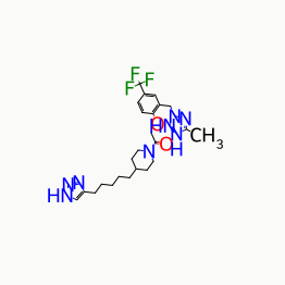 CC1=NN(Cc2cc(C(F)(F)F)ccc2OCC(=O)N2CCC(CCCCCc3c[nH]nn3)CC2)NN1